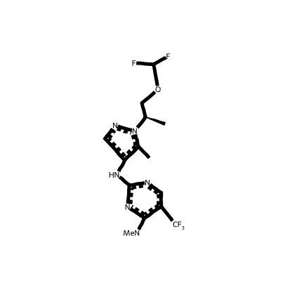 CNc1nc(Nc2cnn([C@H](C)COC(F)F)c2C)ncc1C(F)(F)F